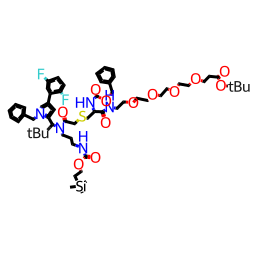 CC(C)(C)OC(=O)CCOCCOCCOCCOCCNC(=O)C(CSCC(=O)N(CCCNC(=O)OCC[Si](C)(C)C)C(c1cc(-c2cc(F)ccc2F)cn1Cc1ccccc1)C(C)(C)C)NC(=O)OCc1ccccc1